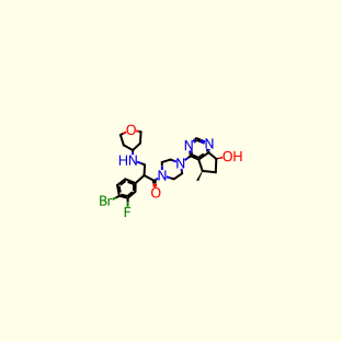 C[C@@H]1C[C@H](O)c2ncnc(N3CCN(C(=O)C(CNC4CCOCC4)c4ccc(Br)c(F)c4)CC3)c21